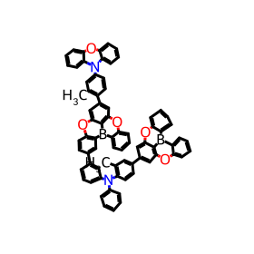 Cc1cc(N2c3ccccc3Oc3ccccc32)ccc1-c1cc2c3c(c1)Oc1ccc(-c4cccc(N(c5ccccc5)c5ccc(-c6cc7c8c(c6)Oc6ccccc6B8c6ccccc6O7)cc5C)c4)cc1B3c1ccccc1O2